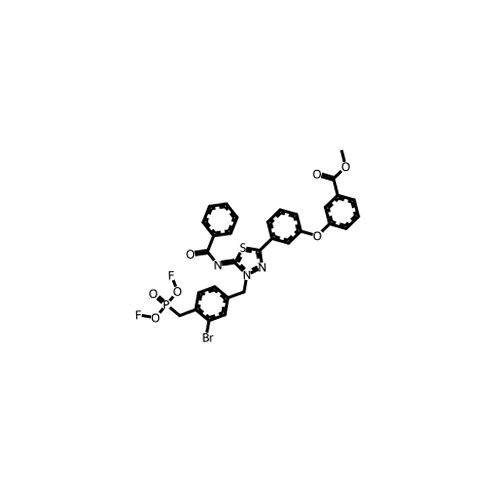 COC(=O)c1cccc(Oc2cccc(-c3nn(Cc4ccc(CP(=O)(OF)OF)c(Br)c4)c(=NC(=O)c4ccccc4)s3)c2)c1